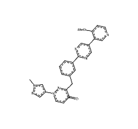 COc1ccncc1-c1cnc(-c2cccc(Cc3nn(-c4cnn(C)c4)ccc3=O)c2)nc1